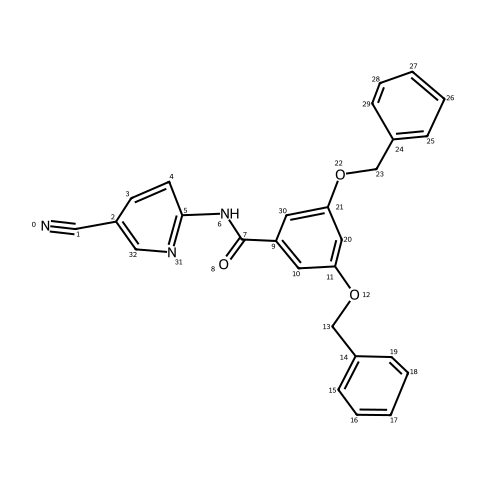 N#Cc1ccc(NC(=O)c2cc(OCc3ccccc3)cc(OCc3ccccc3)c2)nc1